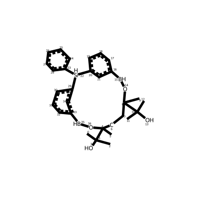 CC(C)(O)C1(C)CCC(C)(C(C)(C)O)OBc2cccc(c2)[SiH](c2ccccc2)c2cccc(c2)BO1